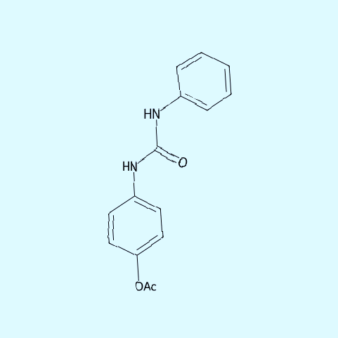 CC(=O)Oc1ccc(NC(=O)Nc2ccccc2)cc1